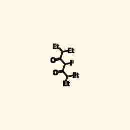 CCC(CC)C(=O)C(F)C(=O)C(CC)CC